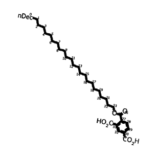 CCCCCCCCCCCCCCCCCCCCCCCCCCCCCCCCCOC(=O)c1ccc(C(=O)O)cc1C(=O)O